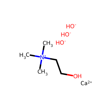 C[N+](C)(C)CCO.[Ca+2].[OH-].[OH-].[OH-]